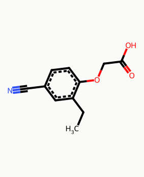 CCc1cc(C#N)ccc1OCC(=O)O